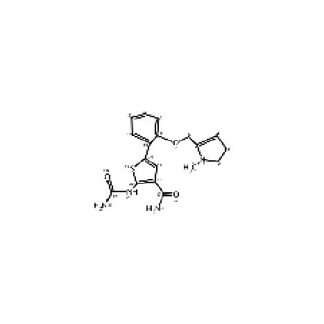 CN1CCC=C1COc1ccccc1-c1cc(C(N)=O)c(NC(N)=O)s1